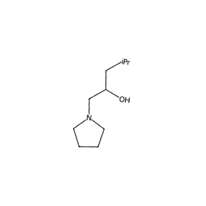 CC(C)CC(O)CN1CCCC1